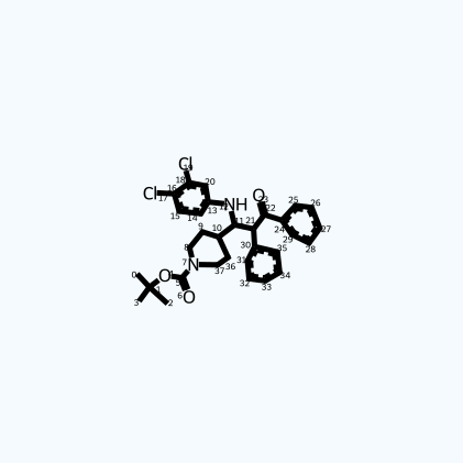 CC(C)(C)OC(=O)N1CCC(C(Nc2ccc(Cl)c(Cl)c2)C(C(=O)c2ccccc2)c2ccccc2)CC1